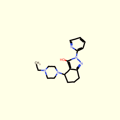 CCN1CCN(C2CCCc3nn(-c4ccccn4)c(O)c32)CC1